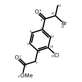 COC(=O)Cc1ccc(C(=O)C(C)Br)cc1Cl